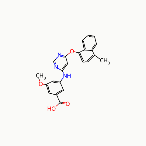 COc1cc(Nc2cc(Oc3ccc(C)c4ccccc34)ncn2)cc(C(=O)O)c1